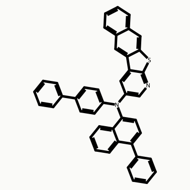 c1ccc(-c2ccc(N(c3cnc4sc5cc6ccccc6cc5c4c3)c3ccc(-c4ccccc4)c4ccccc34)cc2)cc1